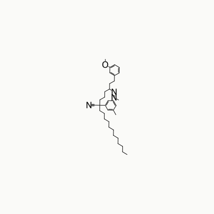 CCCCCCCCCCCCC(C#N)(CCCC(CCc1cccc(OC)c1)N=NC)c1cccc(C)c1